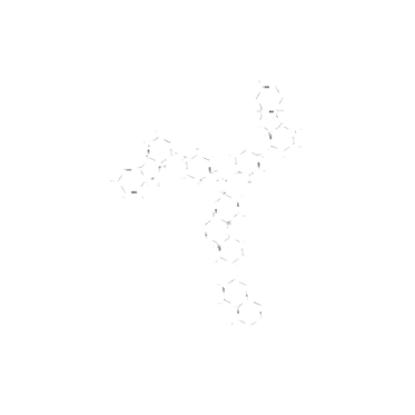 c1ccc2cc(-c3ccc4c(ccc5cc(N(c6ccc(-c7ccnc8c7sc7ccccc78)cc6)c6ccc(-c7ccnc8c7sc7ccccc78)cc6)ccc54)c3)ccc2c1